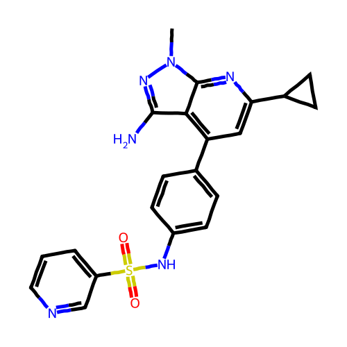 Cn1nc(N)c2c(-c3ccc(NS(=O)(=O)c4cccnc4)cc3)cc(C3CC3)nc21